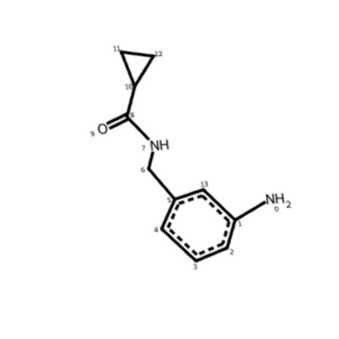 Nc1cccc(CNC(=O)C2CC2)c1